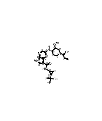 C=CC(=O)N1CC[C@H](Nc2cnc3[nH]cc(C(=O)NC4C[C@H]4C(F)(F)F)c3n2)C(OC)C1